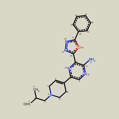 CC(C=O)CN1CC=C(c2cnc(N)c(-c3nnc(-c4ccccc4)o3)n2)CC1